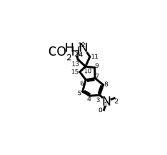 CN(C)c1ccc2c(c1)CC(CN)(CC(=O)O)C2